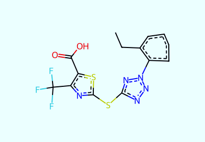 CCc1ccccc1-n1nnc(Sc2nc(C(F)(F)F)c(C(=O)O)s2)n1